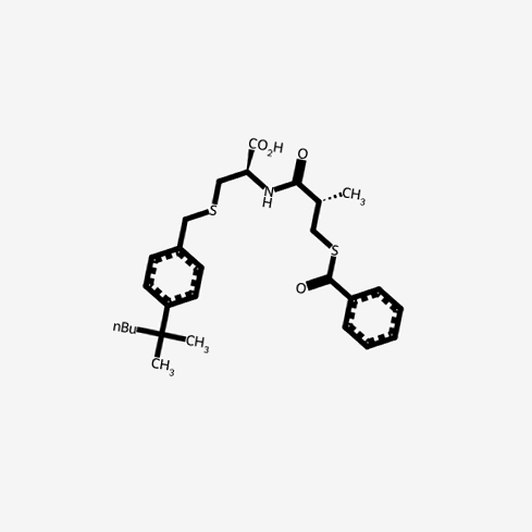 CCCCC(C)(C)c1ccc(CSC[C@H](NC(=O)[C@H](C)CSC(=O)c2ccccc2)C(=O)O)cc1